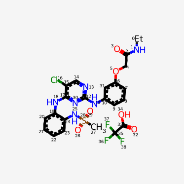 CCNC(=O)COc1cccc(Nc2ncc(Cl)c(Nc3ccccc3NS(C)(=O)=O)n2)c1.O=C(O)C(F)(F)F